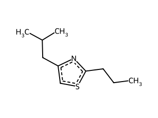 CCCc1nc(CC(C)C)cs1